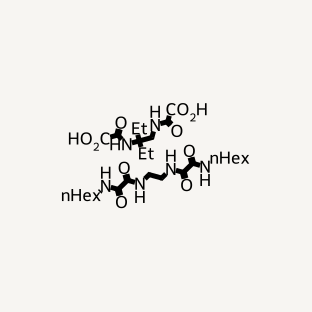 CCC(CC)(CNC(=O)C(=O)O)NC(=O)C(=O)O.CCCCCCNC(=O)C(=O)NCCNC(=O)C(=O)NCCCCCC